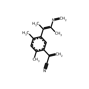 C=N/C(C)=C(\C)c1cc(C(=C)C#N)c(C)cc1C